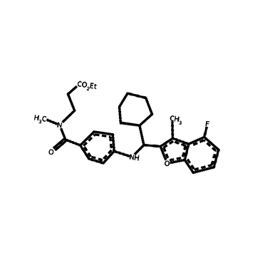 CCOC(=O)CCN(C)C(=O)c1ccc(NC(c2oc3cccc(F)c3c2C)C2CCCCC2)cc1